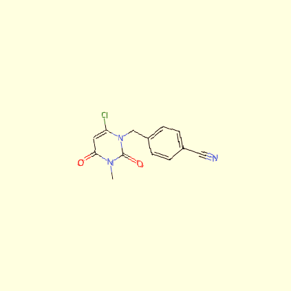 Cn1c(=O)cc(Cl)n(Cc2ccc(C#N)cc2)c1=O